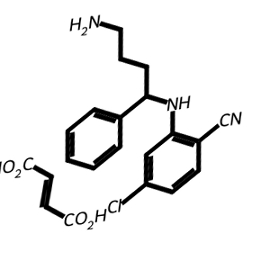 N#Cc1ccc(Cl)cc1NC(CCCN)c1ccccc1.O=C(O)C=CC(=O)O